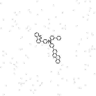 c1ccc(-c2cccc(N(c3ccc(-c4ccc5c(ccc6c7ccccc7ccc56)c4)cc3)c3ccc(-c4cccc5c4sc4ccccc45)cc3)c2)cc1